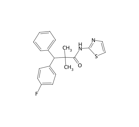 CC(C)(C(=O)Nc1nccs1)C(c1ccccc1)c1ccc(F)cc1